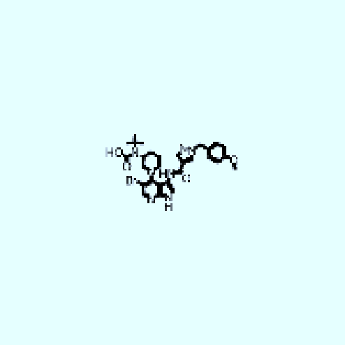 COc1ccc(Cn2cc(C(=O)Nc3c[nH]c4ncc(Br)c(N5CCC[C@@H](N(C(=O)O)C(C)(C)C)C5)c34)cn2)cc1